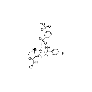 CC[C@H](NC(=O)[C@H](CS(=O)(=O)c1cccc(S(=O)(=O)OC)c1)N[C@@H](c1ccc(F)cc1)C(F)(F)F)C(=O)C(=O)NC1CC1